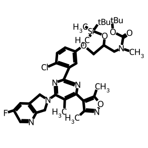 Cc1noc(C)c1-c1nc(-c2cc(OCC(CN(C)C(=O)OC(C)(C)C)O[Si](C)(C)C(C)(C)C)ccc2Cl)nc(N2Cc3cc(F)cnc3C2)c1C